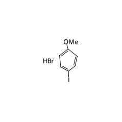 Br.COc1ccc(I)cc1